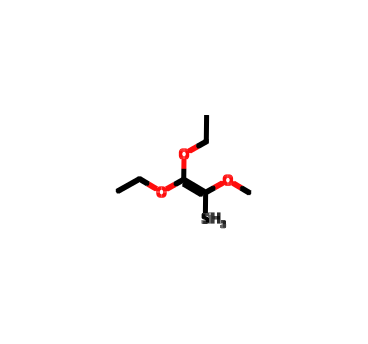 CCOC(OCC)=C([SiH3])OC